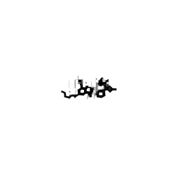 CC[C@@H](C)CNCc1cc(C(F)(F)F)c2ncn(-c3cccc(C4(c5nncn5C)CC(C)C4)c3)c(=O)c2c1